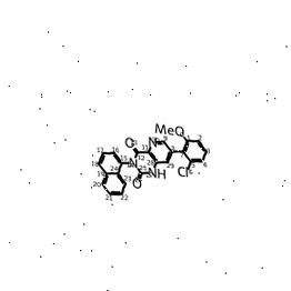 COc1cccc(Cl)c1-c1cnc2c(=O)n(-c3cccc4ccccc34)c(=O)[nH]c2c1